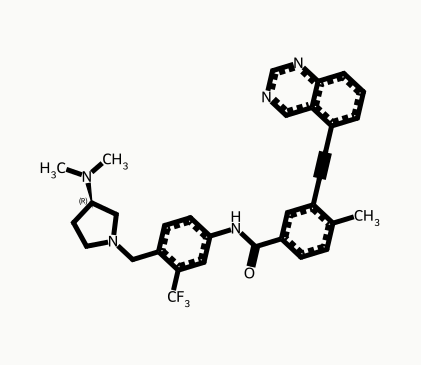 Cc1ccc(C(=O)Nc2ccc(CN3CC[C@@H](N(C)C)C3)c(C(F)(F)F)c2)cc1C#Cc1cccc2ncncc12